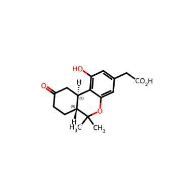 CC1(C)Oc2cc(CC(=O)O)cc(O)c2[C@@H]2CC(=O)CC[C@H]21